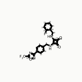 O=c1c(NCc2ccc(-c3noc(C(F)(F)F)n3)cc2)c(NCc2ccccc2F)c1=O